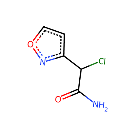 NC(=O)C(Cl)c1ccon1